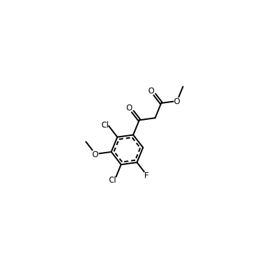 COC(=O)CC(=O)c1cc(F)c(Cl)c(OC)c1Cl